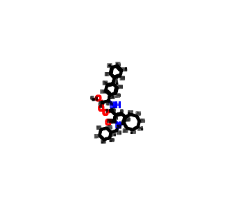 COC(=O)C(NC(=O)c1cc2c(n(CC3CCCCC3)c1=O)CCCCCC2)c1ccc(-c2ccccc2)cc1